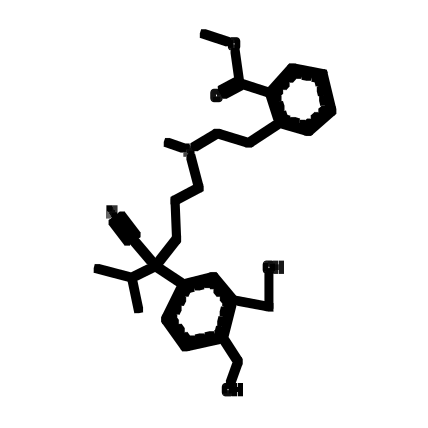 COC(=O)c1ccccc1CCN(C)CCCC(C#N)(c1ccc(CO)c(CO)c1)C(C)C